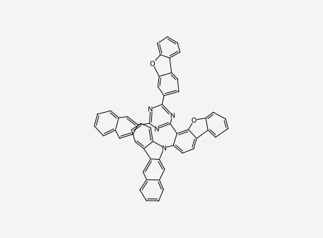 c1ccc2cc(-c3nc(-c4ccc5c(c4)oc4ccccc45)nc(-c4c(-n5c6ccccc6c6cc7ccccc7cc65)ccc5c4oc4ccccc45)n3)ccc2c1